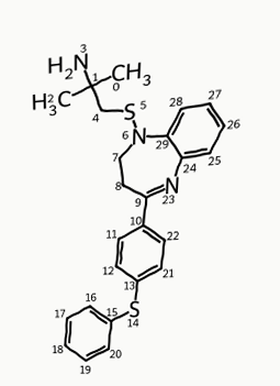 CC(C)(N)CSN1CCC(c2ccc(Sc3ccccc3)cc2)=Nc2ccccc21